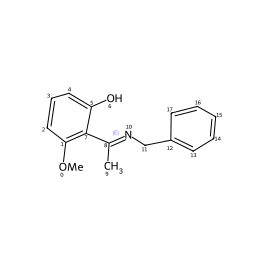 COc1cccc(O)c1/C(C)=N/Cc1ccccc1